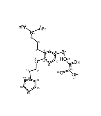 CCCN(CCC)CCCc1cc(Br)ccc1OCCc1ccccc1.O=C(O)C(=O)O